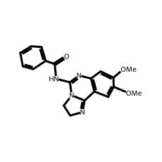 COc1cc2c(cc1OC)C1=NCCN1C(NC(=O)c1ccccc1)=N2